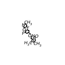 Cc1ccc(Oc2c(F)cc(COc3cc4n(c(=O)n3)C[C@@H](C)N4C)cc2F)cn1